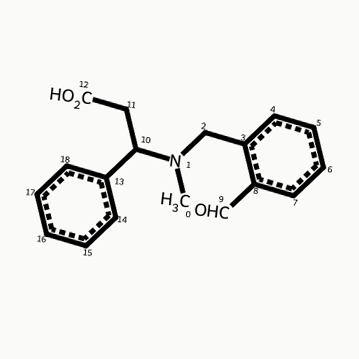 CN(Cc1ccccc1C=O)C(CC(=O)O)c1ccccc1